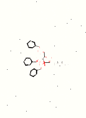 CO[C@H]1OC(COCc2ccccc2)[C@@H](OCc2ccccc2)[C@@]1(C)OCc1ccccc1